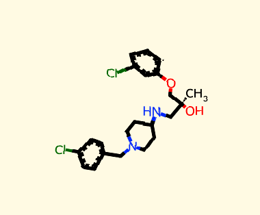 C[C@](O)(CNC1CCN(Cc2ccc(Cl)cc2)CC1)COc1[c]ccc(Cl)c1